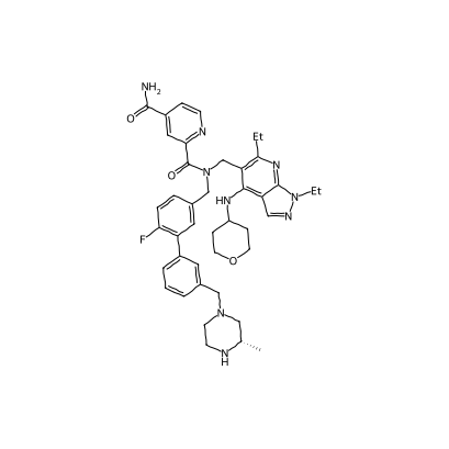 CCc1nc2c(cnn2CC)c(NC2CCOCC2)c1CN(Cc1ccc(F)c(-c2cccc(CN3CCN[C@@H](C)C3)c2)c1)C(=O)c1cc(C(N)=O)ccn1